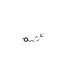 COc1cc(Cl)c(Br)cc1CCC(=O)N1CCN(C2CN(C(=O)O)C2C(C)(C)C)CC1